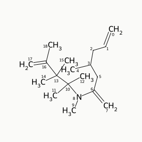 C=CCC(C)CC(=C)N(C)C(C)(C)C(C)(C)C(=C)C